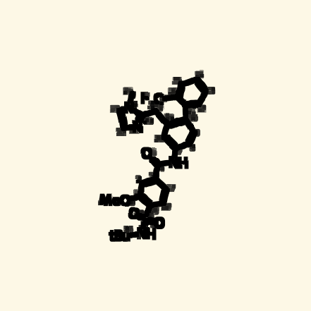 COc1cc(C(=O)Nc2ccc(-c3ccccc3C(F)(F)F)c(Cc3nccn3C)c2)ccc1S(=O)(=O)NC(C)(C)C